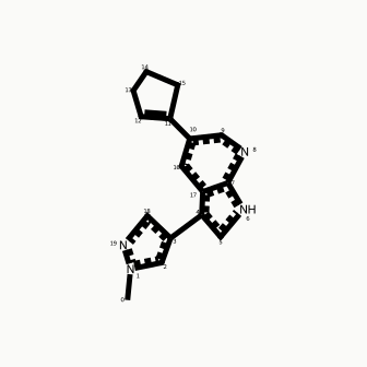 Cn1cc(-c2c[nH]c3ncc(C4=CCCC4)cc23)cn1